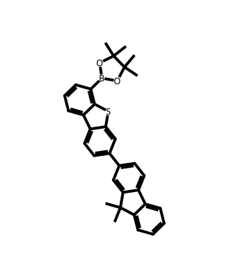 CC1(C)c2ccccc2-c2ccc(-c3ccc4c(c3)sc3c(B5OC(C)(C)C(C)(C)O5)cccc34)cc21